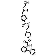 CN(CCN1CCC(OC(=O)Nc2ccccc2-c2ccccc2)CC1)C(=O)c1ccc(CNCCO)cn1